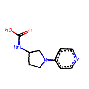 O=C(O)NC1CCN(c2ccncc2)C1